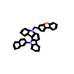 c1ccc2cc(-n3c4ccccc4c4ccc5c(c6ccccc6n5Cc5ccc6c(c5)oc5ccccc56)c43)ccc2c1